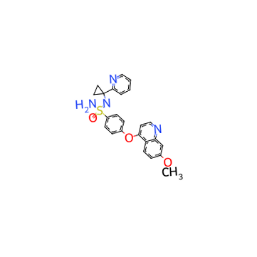 COc1ccc2c(Oc3ccc(S(N)(=O)=NC4(c5ccccn5)CC4)cc3)ccnc2c1